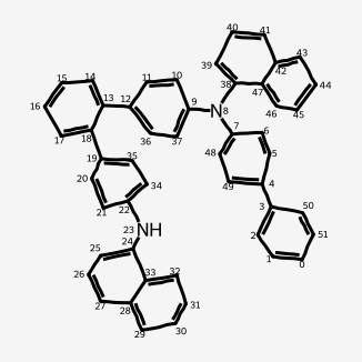 c1ccc(-c2ccc(N(c3ccc(-c4ccccc4-c4ccc(Nc5cccc6ccccc56)cc4)cc3)c3cccc4ccccc34)cc2)cc1